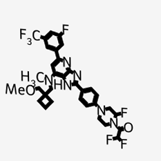 COCC1(CN(C)c2cc(-c3cc(F)cc(C(F)(F)F)c3)nc3nc(-c4ccc(N5CCN(C(=O)C(F)F)C(F)C5)cc4)[nH]c23)CCC1